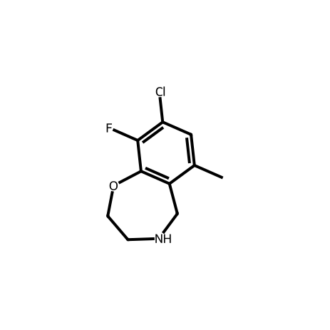 Cc1cc(Cl)c(F)c2c1CNCCO2